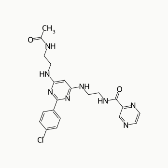 CC(=O)NCCNc1cc(NCCNC(=O)c2cnccn2)nc(-c2ccc(Cl)cc2)n1